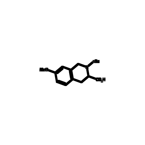 CCCCN1Cc2cc(OC)ccc2CC1C(=O)O